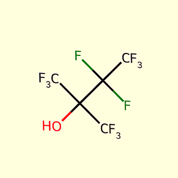 OC(C(F)(F)F)(C(F)(F)F)C(F)(F)C(F)(F)F